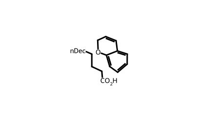 C1=Cc2ccccc2OC1.CCCCCCCCCCCCCC(=O)O